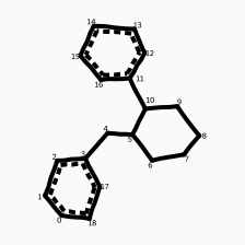 c1ccc(CC2CCCCC2c2ccccc2)cc1